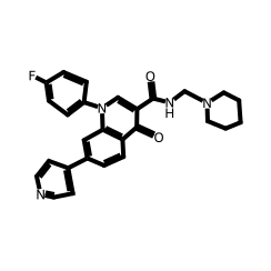 O=C(NCN1CCCCC1)c1cn(-c2ccc(F)cc2)c2cc(-c3ccncc3)ccc2c1=O